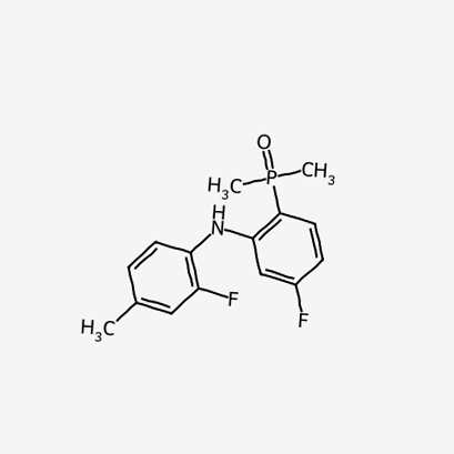 Cc1ccc(Nc2cc(F)ccc2P(C)(C)=O)c(F)c1